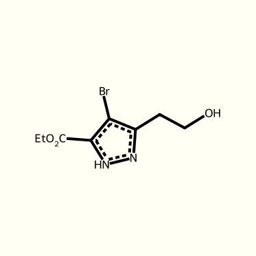 CCOC(=O)c1[nH]nc(CCO)c1Br